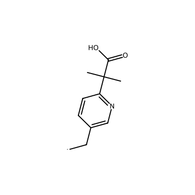 [CH2]Cc1ccc(C(C)(C)C(=O)O)nc1